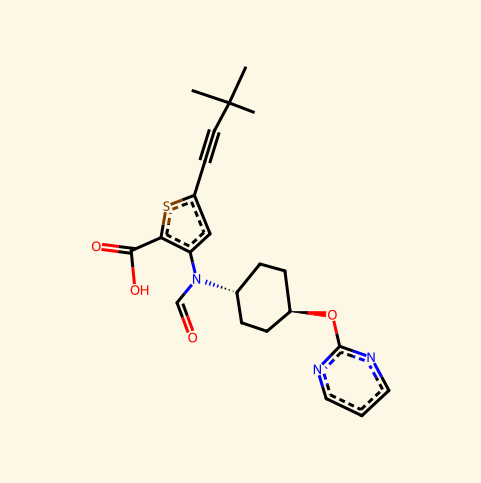 CC(C)(C)C#Cc1cc(N(C=O)[C@H]2CC[C@H](Oc3ncccn3)CC2)c(C(=O)O)s1